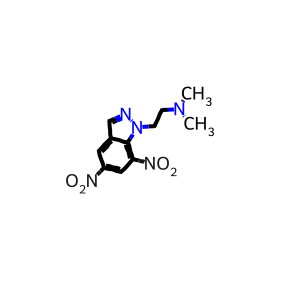 CN(C)CCn1ncc2cc([N+](=O)[O-])cc([N+](=O)[O-])c21